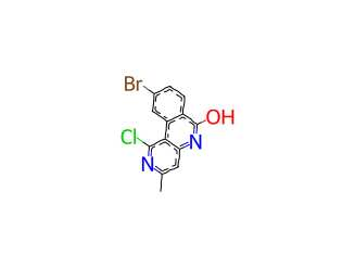 Cc1cc2nc(O)c3ccc(Br)cc3c2c(Cl)n1